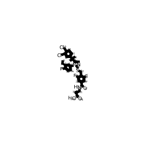 CCc1cc(-n2c(C(C)(C)c3ccc(Cl)c(Cl)c3)cnc2SCc2c(F)cc(C(=O)NCCC(=O)O)cc2F)ccc1F